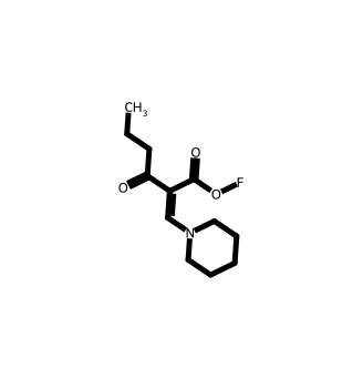 CCCC(=O)C(=CN1CCCCC1)C(=O)OF